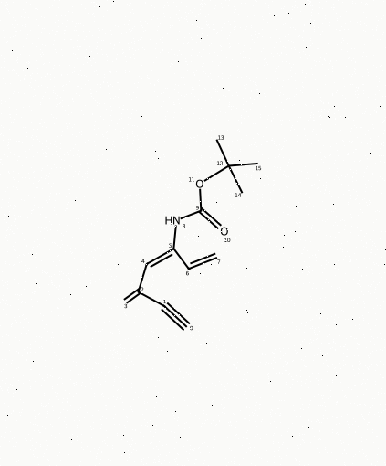 C#CC(=C)/C=C(\C=C)NC(=O)OC(C)(C)C